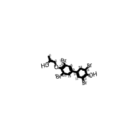 CC(O)COC1=C(Br)C=C(C2=CC(Br)=C(O)C(Br)C2)CC1Br